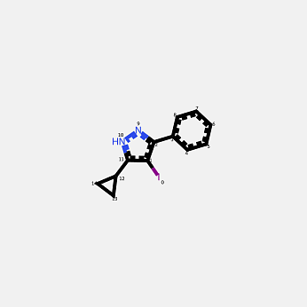 Ic1c(-c2ccccc2)n[nH]c1C1CC1